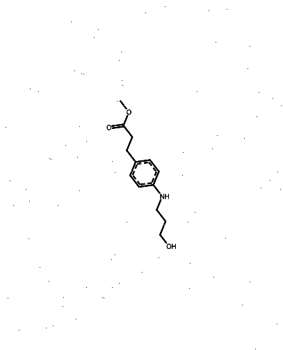 COC(=O)CCc1ccc(NCCCO)cc1